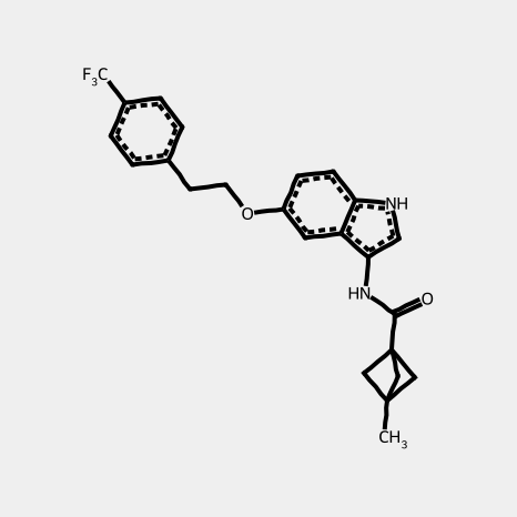 CC12CC(C(=O)Nc3c[nH]c4ccc(OCCc5ccc(C(F)(F)F)cc5)cc34)(C1)C2